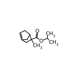 CC(C)OC(=O)C1(C)CC2=CCC1C2